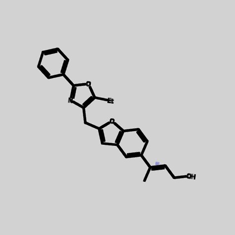 CCc1oc(-c2ccccc2)nc1Cc1cc2cc(/C(C)=C/CO)ccc2o1